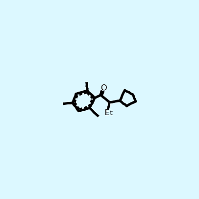 [CH2]CC(C(=O)c1c(C)cc(C)cc1C)C1CCCC1